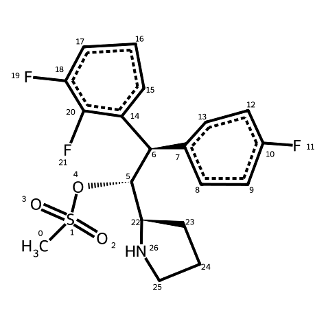 CS(=O)(=O)O[C@H]([C@H](c1ccc(F)cc1)c1cccc(F)c1F)[C@H]1CCCN1